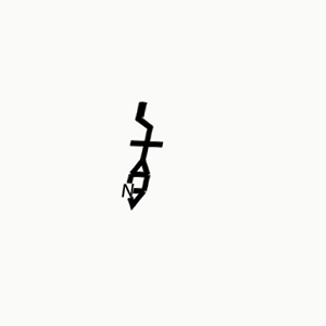 C=CCC(C)(C)C1C2C3CN3C21